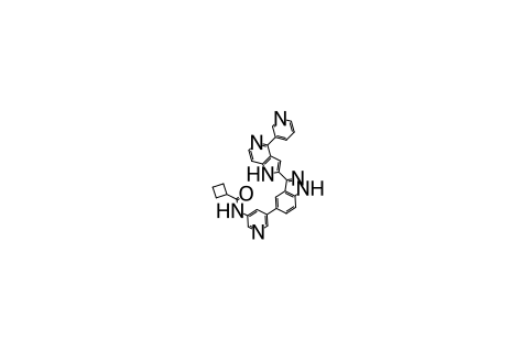 O=C(Nc1cncc(-c2ccc3[nH]nc(-c4cc5c(-c6cccnc6)nccc5[nH]4)c3c2)c1)C1CCC1